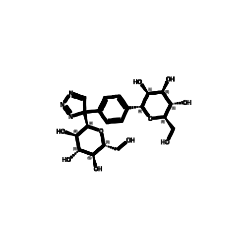 OC[C@H]1O[C@H](C2(c3ccc([C@H]4O[C@H](CO)[C@@H](O)[C@H](O)[C@@H]4O)cc3)C=NN=N2)[C@H](O)[C@@H](O)[C@@H]1O